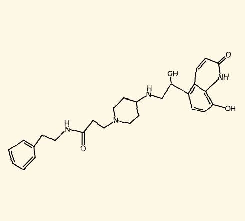 O=C(CCN1CCC(NCC(O)c2ccc(O)c3[nH]c(=O)ccc23)CC1)NCCc1ccccc1